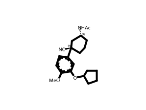 COc1ccc([C@@]2(C#N)CCC[C@@H](NC(C)=O)C2)cc1OC1CCCC1